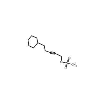 CS(=O)(=O)OCC#CCCC1CCCCC1